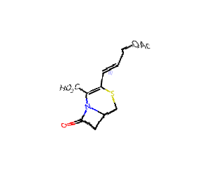 CC(=O)OC/C=C/C1=C(C(=O)O)N2C(=O)CC2CS1